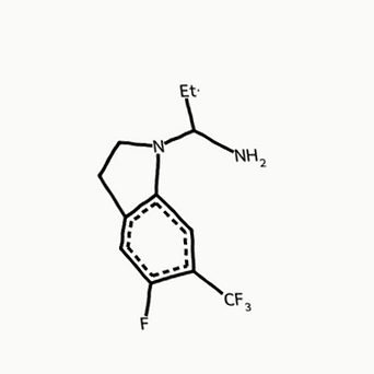 C[CH]C(N)N1CCc2cc(F)c(C(F)(F)F)cc21